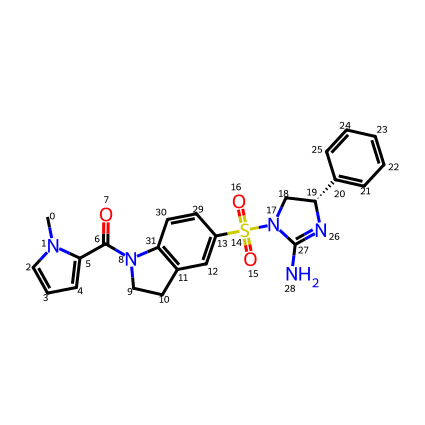 Cn1cccc1C(=O)N1CCc2cc(S(=O)(=O)N3C[C@H](c4ccccc4)N=C3N)ccc21